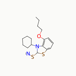 CCCCOc1cccc2c1N(C1CCCCC1)C(S[N])S2